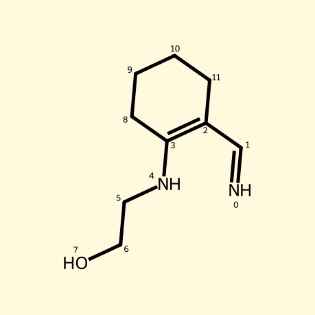 N=CC1=C(NCCO)CCCC1